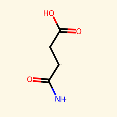 [NH]C(=O)[CH]CC(=O)O